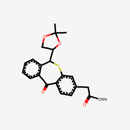 COC(=O)Cc1ccc2c(c1)SC(C1COC(C)(C)O1)c1ccccc1C2=O